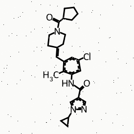 Cc1c(C=C2CCN(C(=O)C3CCCC3)CC2)cc(Cl)cc1NC(=O)c1cnn(C2CC2)c1